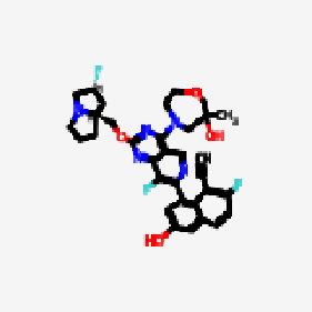 C#Cc1c(F)ccc2cc(O)cc(-c3ncc4c(N5CCOCC(C)(O)C5)nc(OC[C@@]56CCCN5C[C@H](F)C6)nc4c3F)c12